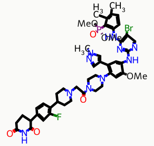 COc1cc(N2CCN(C(=O)CN3CCC(c4ccc(C5CCC(=O)NC5=O)cc4F)CC3)CC2)c(-c2cnn(C)c2)cc1Nc1ncc(Br)c(Nc2ccc(C)c(C)c2P(=O)(OC)OC)n1